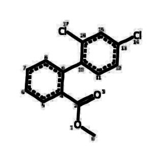 COC(=O)c1ccccc1-c1ccc(Cl)cc1Cl